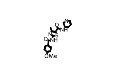 COc1ccc(C(=O)Nc2nc(C)c(C(=O)Nc3cccnc3)s2)cc1